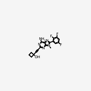 Cn1c(-c2cc(F)cc(F)c2F)nc2c(N)nc(C#CC3(O)CCC3)nc21